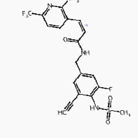 C#Cc1cc(CNC(=O)/C=C\c2ccc(C(F)(F)F)nc2C)cc(F)c1NS(C)(=O)=O